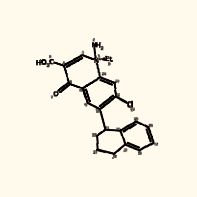 CC[N@+]1(N)C=C(C(=O)O)C(=O)c2cc(C3CCCc4ccccc43)c(Cl)cc21